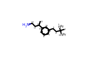 CCCC(C)(CCC)CCc1cccc(C(C)CCN)c1